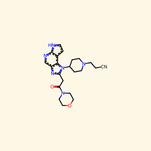 N#CCCN1CCC(n2c(CC(=O)N3CCOCC3)nc3cnc4[nH]ccc4c32)CC1